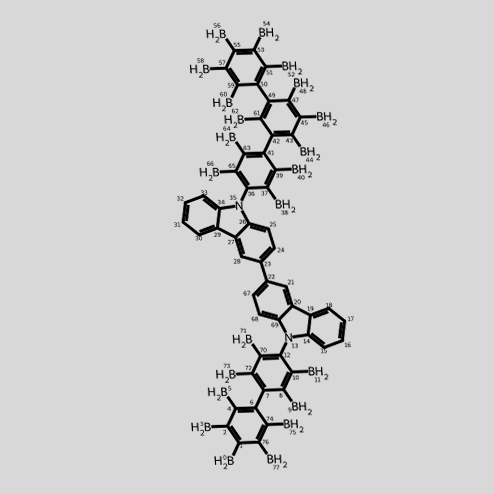 Bc1c(B)c(B)c(-c2c(B)c(B)c(-n3c4ccccc4c4cc(-c5ccc6c(c5)c5ccccc5n6-c5c(B)c(B)c(-c6c(B)c(B)c(B)c(-c7c(B)c(B)c(B)c(B)c7B)c6B)c(B)c5B)ccc43)c(B)c2B)c(B)c1B